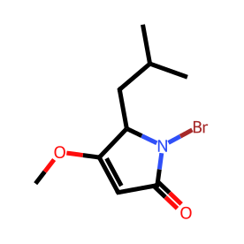 COC1=CC(=O)N(Br)C1CC(C)C